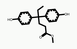 CCC(CCC(=O)OC)(c1ccc(O)cc1)c1ccc(O)cc1